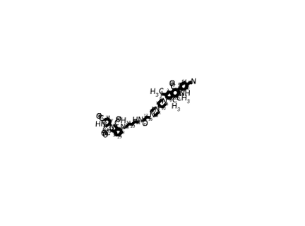 CCc1cc2c(cc1N1CCC(N3CCN(CCC(=O)NCCCCCNc4cccc5c(=C=O)n(C6CCC(=C=O)NC6=C=O)c(=C=O)c45)CC3)CC1)C(C)(C)c1[nH]c3cc(C#N)ccc3c1C2=C=O